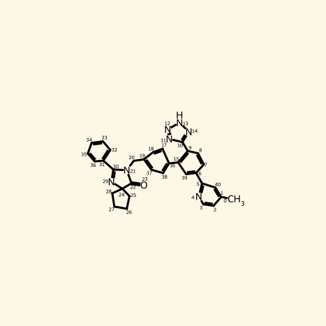 Cc1ccnc(-c2ccc(-c3nn[nH]n3)c(-c3ccc(CN4C(=O)C5(CCCC5)N=C4c4ccccc4)cc3)c2)c1